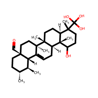 C[C@H]1[C@H](C)CC[C@]2(C=O)CC[C@]3(C)C(=CC[C@@H]4[C@@]5(C)C(O)CCC(C)(C(O)(O)O)[C@@H]5CC[C@]43C)[C@H]12